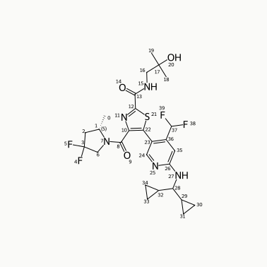 C[C@H]1CC(F)(F)CN1C(=O)c1nc(C(=O)NCC(C)(C)O)sc1-c1cnc(NC(C2CC2)C2CC2)cc1C(F)F